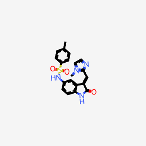 Cc1ccc(S(=O)(=O)Nc2ccc3c(c2)C(=Cc2nccn2C)C(=O)N3)cc1